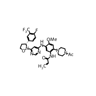 C=CC(=O)Nc1cc(Nc2cc(N3OCC[C@@H]3c3ccc(F)c(C(F)(F)F)c3)ncn2)c(OC)cc1N1CCN(C(C)=O)CC1